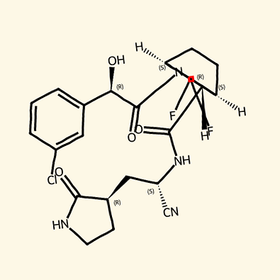 N#C[C@H](C[C@H]1CCNC1=O)NC(=O)[C@H]1[C@@H]2CC[C@@H](CC2(F)F)N1C(=O)[C@H](O)c1cccc(Cl)c1